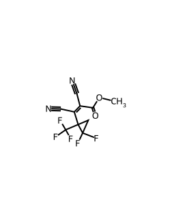 COC(=O)/C(C#N)=C(/C#N)C1(C(F)(F)F)CC1(F)F